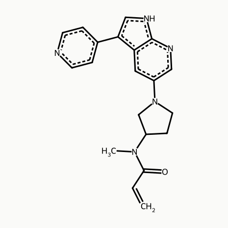 C=CC(=O)N(C)C1CCN(c2cnc3[nH]cc(-c4ccncc4)c3c2)C1